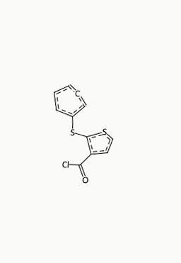 O=C(Cl)c1ccsc1Sc1ccccc1